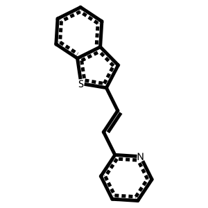 C(=Cc1cc2ccccc2s1)c1ccccn1